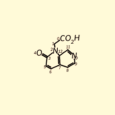 O=C(O)Cn1c(=O)ccc2ccncc21